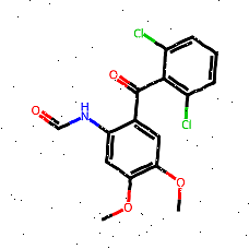 COc1cc(NC=O)c(C(=O)c2c(Cl)cccc2Cl)cc1OC